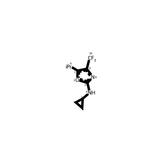 CC(C)c1oc(NC2CC2)nc1C(F)(F)F